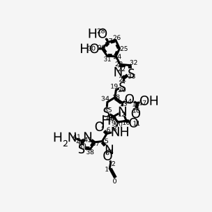 C=CCON=C(C(=O)N[C@@H]1C(=O)N2C(OC(=O)O)=C(CSc3nc(-c4ccc(O)c(O)c4)cs3)CS[C@@H]12)c1csc(N)n1